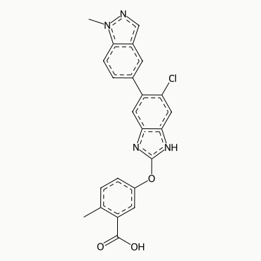 Cc1ccc(Oc2nc3cc(-c4ccc5c(cnn5C)c4)c(Cl)cc3[nH]2)cc1C(=O)O